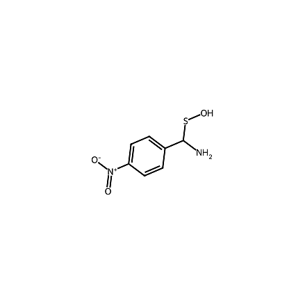 NC(SO)c1ccc([N+](=O)[O-])cc1